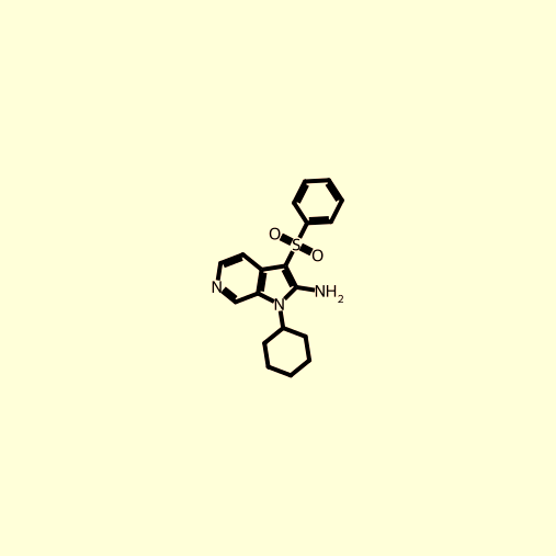 Nc1c(S(=O)(=O)c2ccccc2)c2ccncc2n1C1CCCCC1